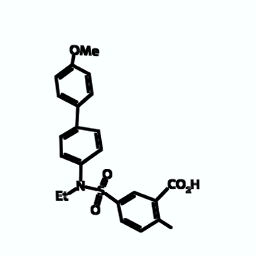 CCN(c1ccc(-c2ccc(OC)cc2)cc1)S(=O)(=O)c1ccc(C)c(C(=O)O)c1